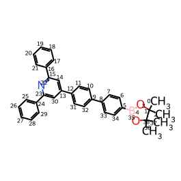 CC1(C)OB(c2ccc(-c3ccc(-c4cc(-c5ccccc5)nc(-c5ccccc5)c4)cc3)cc2)OC1(C)C